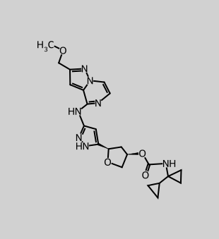 COCc1cc2c(Nc3cc([C@H]4C[C@@H](OC(=O)NC5(C6CC6)CC5)CO4)[nH]n3)nccn2n1